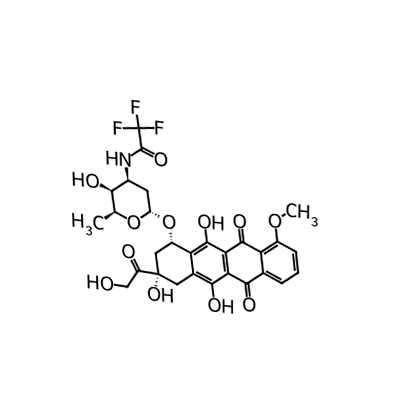 COc1cccc2c1C(=O)c1c(O)c3c(c(O)c1C2=O)C[C@@](O)(C(=O)CO)C[C@@H]3O[C@H]1C[C@H](NC(=O)C(F)(F)F)[C@H](O)[C@H](C)O1